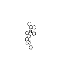 C1=Cc2cc(N(c3ccccc3)c3cccc4c3ccc3c4ccc4oc(-c5ccccc5)nc43)c3c(c2CC1)CCC=C3